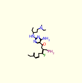 C=C(/C=C\C/C(F)=C(/CP)CC(=O)c1cnc(NC(CC)CCN(C)CC)nc1N)CC